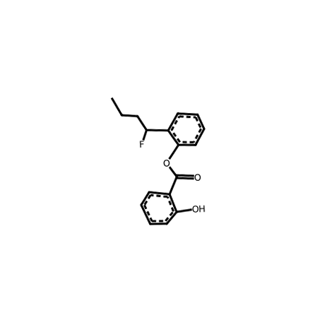 CCCC(F)c1ccccc1OC(=O)c1ccccc1O